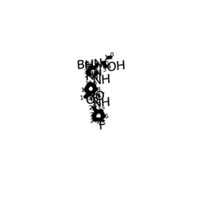 CC[C@H](CO)Nc1nc(Nc2ccc(C)c(S(=O)(=O)NCc3ccc(F)cc3)c2)ncc1Br